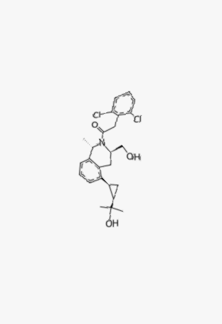 C[C@H]1c2cccc([C@H]3C[C@H]3C(C)(C)O)c2C[C@H](CO)N1C(=O)Cc1c(Cl)cccc1Cl